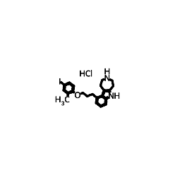 Cc1cc(I)ccc1OCCCc1cccc2[nH]c3c(c12)CCNCC3.Cl